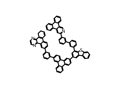 C1=Cc2c(c3nccnc3c3cc(-c4cccc(-c5ccc6c(c5)c5ccccc5c5ccc(-c7cc(-c8cccc(-c9cccc(-c%10cc%11c%12ccccc%12c%12ccccc%12c%11cn%10)c9)c8)c8sc9ccccc9c8c7)cc56)c4)ccc23)CC1